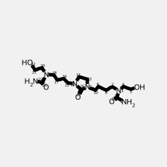 NC(=O)N(CCO)CCCCN1CCN(CCCCN(CCO)C(N)=O)C1=O